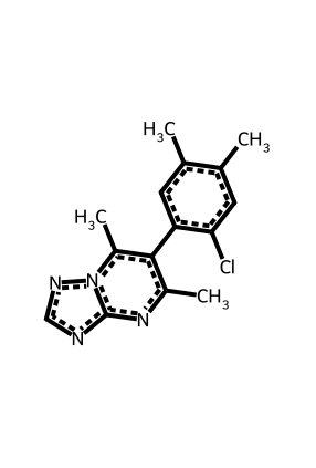 Cc1cc(Cl)c(-c2c(C)nc3ncnn3c2C)cc1C